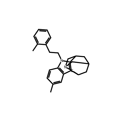 Cc1ccc2c(c1)c1c(n2CCc2ccccc2C)C2CC3CC1CN(C3)C2